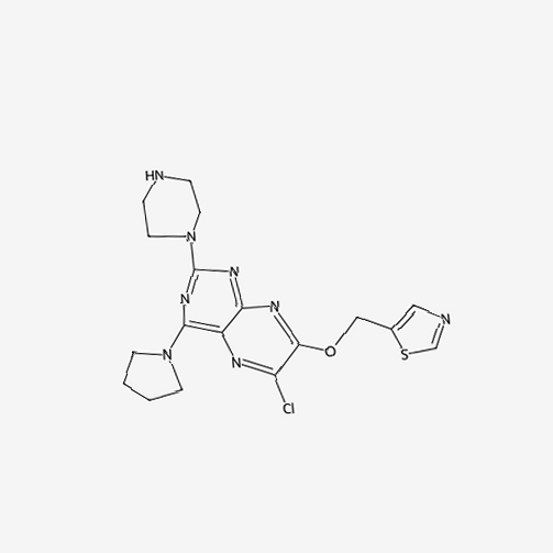 Clc1nc2c(N3CCCC3)nc(N3CCNCC3)nc2nc1OCc1cncs1